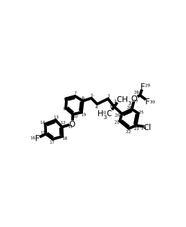 CC(C)(CCCc1cccc(Oc2ccc(F)cc2)c1)c1ccc(Cl)cc1OC(F)F